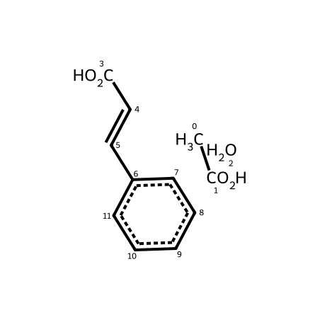 CC(=O)O.O.O=C(O)C=Cc1ccccc1